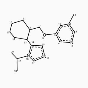 Cc1cncc(OCC2CCCCC2c2cncn2C(C)C)c1